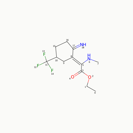 CCOC(=O)/C(NC)=C1\CC(C(F)(F)F)CCC1=N